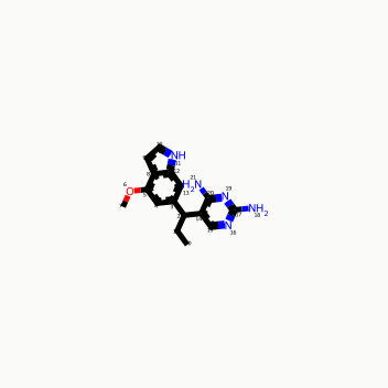 CCC(c1cc(OC)c2cc[nH]c2c1)c1cnc(N)nc1N